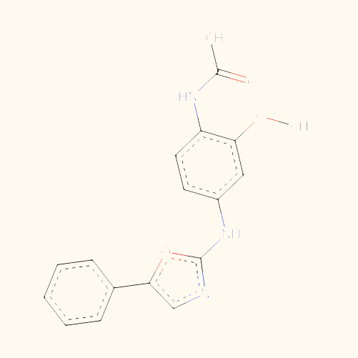 COc1cc(Nc2ncc(-c3ccccc3)o2)ccc1NC(C)=O